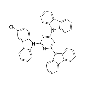 Clc1ccc2c(c1)c1ccccc1n2-c1nc(-n2c3ccccc3c3ccccc32)nc(-n2c3ccccc3c3ccccc32)n1